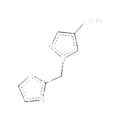 CCOC(=O)c1cnn(Cc2nccs2)c1